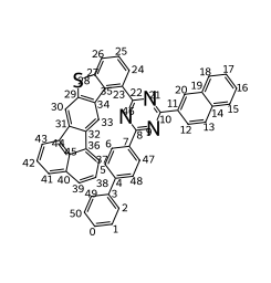 c1ccc(-c2ccc(-c3nc(-c4ccc5ccccc5c4)nc(-c4cccc5sc6cc7c(cc6c45)-c4cccc5cccc-7c45)n3)cc2)cc1